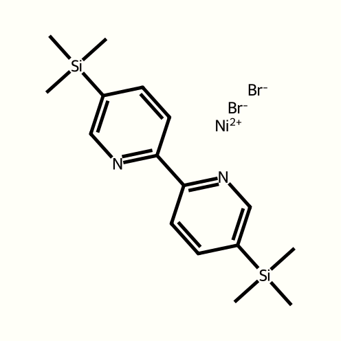 C[Si](C)(C)c1ccc(-c2ccc([Si](C)(C)C)cn2)nc1.[Br-].[Br-].[Ni+2]